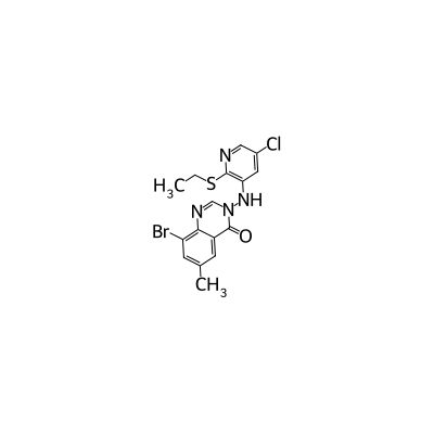 CCSc1ncc(Cl)cc1Nn1cnc2c(Br)cc(C)cc2c1=O